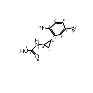 O=C(O)N[C@@H]1C[C@H]1c1cc(Br)ccc1F